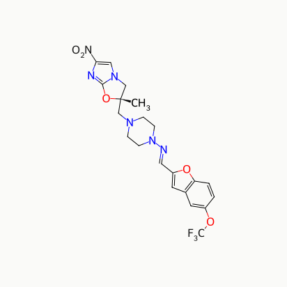 C[C@]1(CN2CCN(N=Cc3cc4cc(OC(F)(F)F)ccc4o3)CC2)Cn2cc([N+](=O)[O-])nc2O1